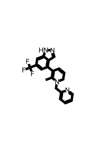 CC1=C(c2cc(C(F)(F)F)cc3[nH]ncc23)C=CCN1Cc1ccccn1